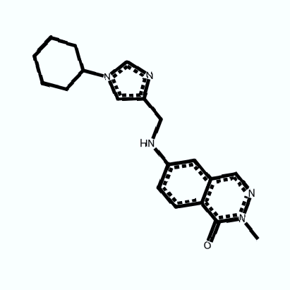 Cn1ncc2cc(NCc3cn(C4CCCCC4)cn3)ccc2c1=O